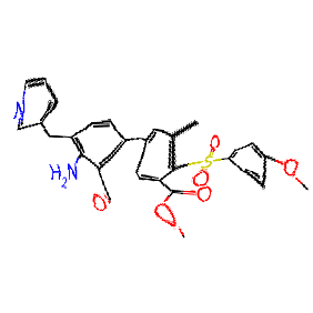 COC(=O)c1cc(-c2ccc(Cc3cccnc3)c(N)c2C=O)cc(C)c1S(=O)(=O)c1ccc(OC)cc1